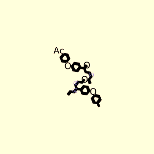 C=C/C=C(\C=C/COC(=C)/C=C\CC(=O)c1ccc(Oc2ccc(C(C)=O)cc2)cc1)c1ccc(Oc2ccc(C)cc2)cc1